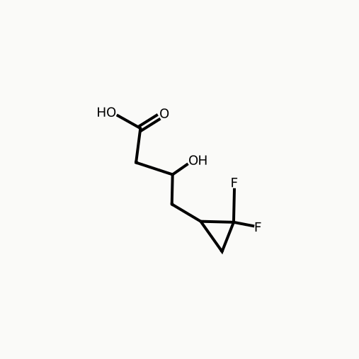 O=C(O)CC(O)CC1CC1(F)F